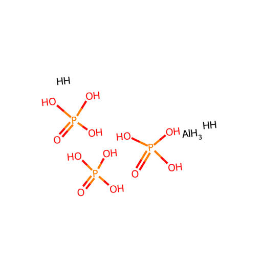 O=P(O)(O)O.O=P(O)(O)O.O=P(O)(O)O.[AlH3].[HH].[HH]